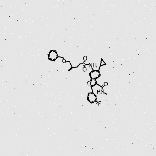 C=C(CCS(=O)(=O)Nc1cc2oc(-c3cccc(F)c3)c(C(=O)NC)c2cc1C1CC1)COCc1ccccc1